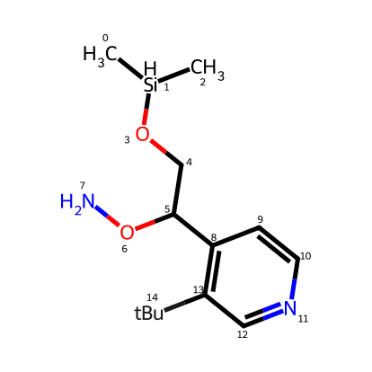 C[SiH](C)OCC(ON)c1ccncc1C(C)(C)C